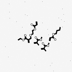 C=C(C)C(=O)OC.C=C(C)C(=O)OC.C=CC(=O)OCCCC.C=CC(=O)OCCOCC(=C)C(=O)OCC